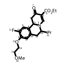 CCOC(=O)C1=CN2C(CC1=O)c1cc(F)c(OCCOC)cc1CC2C(C)C